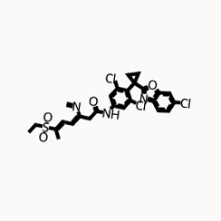 C=N/C(=C\C=C(/C)S(=O)(=O)CC)CC(=O)Nc1cc(Cl)c(C2(c3nc4ccc(Cl)cc4o3)CC2)c(Cl)c1